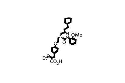 CCOC(Cc1ccc(OCCN(CCCCC2CCCCC2)C(=O)Nc2ccccc2OC)cc1)C(=O)O